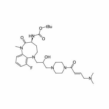 CN(C)C/C=C/C(=O)N1CCN(CC(O)CN2CC[C@H](NC(=O)OC(C)(C)C)C(=O)N(C)c3cccc(F)c32)CC1